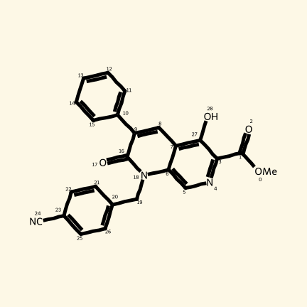 COC(=O)c1ncc2c(cc(-c3ccccc3)c(=O)n2Cc2ccc(C#N)cc2)c1O